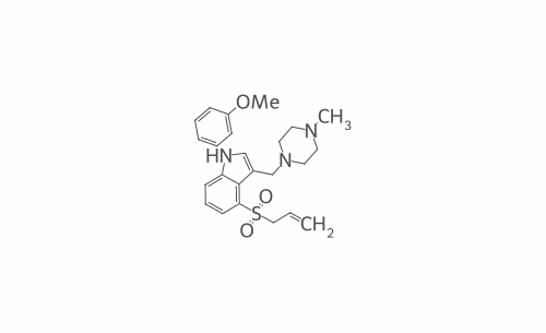 C=CCS(=O)(=O)c1cccc2[nH]cc(CN3CCN(C)CC3)c12.COc1ccccc1